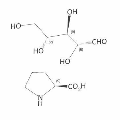 O=C(O)[C@@H]1CCCN1.O=C[C@H](O)[C@H](O)[C@H](O)CO